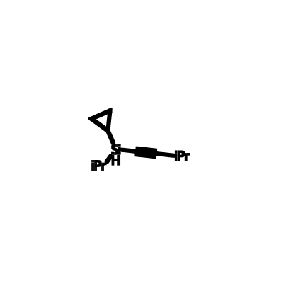 CC(C)C#C[SiH](C(C)C)C1CC1